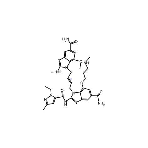 CCn1nc(C)cc1C(=O)Nc1nc2cc(C(N)=O)cc(OCCCNC)c2n1C/C=C/Cn1c(NC)nc2cc(C(N)=O)cc(OC)c21